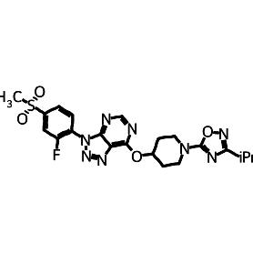 CC(C)c1noc(N2CCC(Oc3ncnc4c3nnn4-c3ccc(S(C)(=O)=O)cc3F)CC2)n1